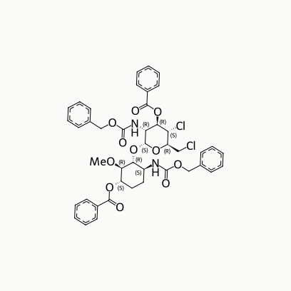 CO[C@H]1[C@H](O[C@H]2O[C@H](CCl)[C@@H](Cl)[C@H](OC(=O)c3ccccc3)[C@H]2NC(=O)OCc2ccccc2)[C@@H](NC(=O)OCc2ccccc2)CC[C@@H]1OC(=O)c1ccccc1